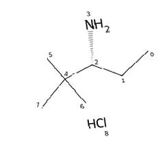 CC[C@@H](N)C(C)(C)C.Cl